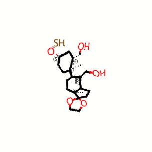 C[C@]12CCC([C@@]3(C)CC[C@H](OS)C[C@@H]3CO)[C@@H](CO)C1CCC21OCCO1